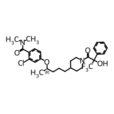 C[C@H](CCCC1CCN(C(=O)C(O)(c2ccccc2)C(F)(F)F)CC1)Oc1ccc(C(=O)N(C)C)c(Cl)c1